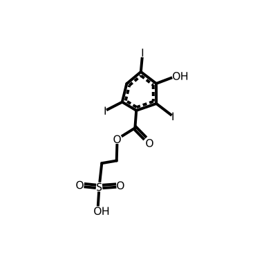 O=C(OCCS(=O)(=O)O)c1c(I)cc(I)c(O)c1I